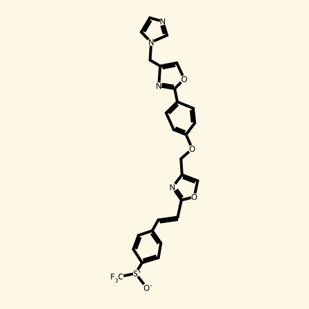 [O-][S+](c1ccc(C=Cc2nc(COc3ccc(-c4nc(Cn5ccnc5)co4)cc3)co2)cc1)C(F)(F)F